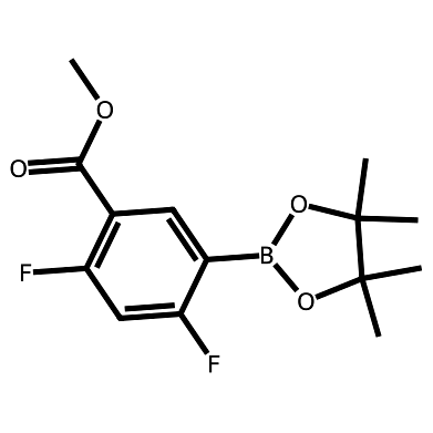 COC(=O)c1cc(B2OC(C)(C)C(C)(C)O2)c(F)cc1F